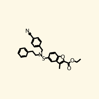 CCOC(=O)c1oc2ccc(SN(CCc3ccccc3)Cc3ccc(C#N)cc3)cc2c1C